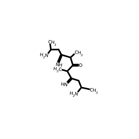 CC(N)CC(=N)C(C)C(=O)C(C)C(=N)CC(C)N